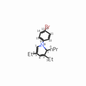 CCCC1C(CC)=CC(CC)=CN1c1ccc(Br)cc1